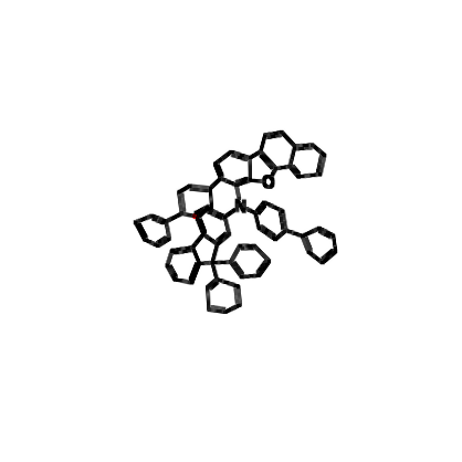 c1ccc(-c2ccc(-c3ccc4c(oc5c6ccccc6ccc45)c3N(c3ccc(-c4ccccc4)cc3)c3ccc4c(c3)C(c3ccccc3)(c3ccccc3)c3ccccc3-4)cc2)cc1